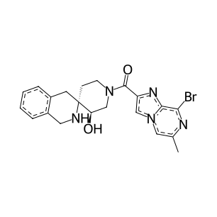 Cc1cn2cc(C(=O)N3CC[C@]4(Cc5ccccc5CN4)[C@H](O)C3)nc2c(Br)n1